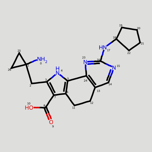 NC1(Cc2[nH]c3c(c2C(=O)O)CCc2cnc(NC4CCCC4)nc2-3)CC1